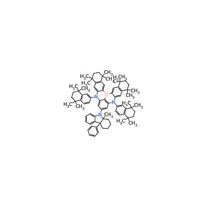 CC1(C)CCC(C)(C)c2cc(N3c4cc5c(cc4B4c6cc7c(cc6N(c6ccc8c(c6)C(C)(C)CCC8(C)C)c6cc(N8c9ccccc9C9(c%10ccccc%10)CCCCC89C)cc3c64)C(C)(C)CCC7(C)C)C(C)(C)CCC5(C)C)ccc21